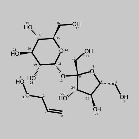 C=CCOO.OC[C@H]1O[C@@](CO)(O[C@H]2O[C@H](CO)[C@@H](O)[C@H](O)[C@H]2O)[C@@H](O)[C@@H]1O